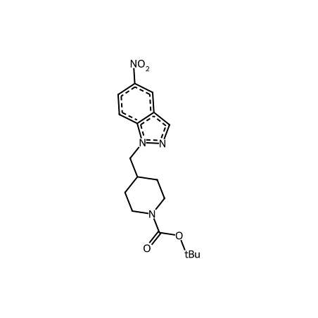 CC(C)(C)OC(=O)N1CCC(Cn2ncc3cc([N+](=O)[O-])ccc32)CC1